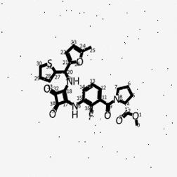 COC(=O)[C@H]1CCCN1C(=O)c1cccc(Nc2c(NC(c3ccc(C)o3)C3CCCS3)c(=O)c2=O)c1F